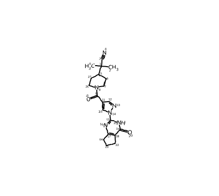 CC(C)(C#N)C1CCN(C(=O)c2cnn(-c3nc4c(c(=O)[nH]3)CCC4)c2)CC1